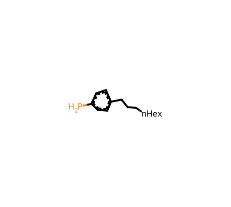 CCCCCCCCCc1ccc(P)cc1